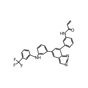 C=CC(=O)Nc1cccc(-c2cc(-c3cccc(Nc4cccc(C(F)(F)F)c4)c3)cc3cncnc23)c1